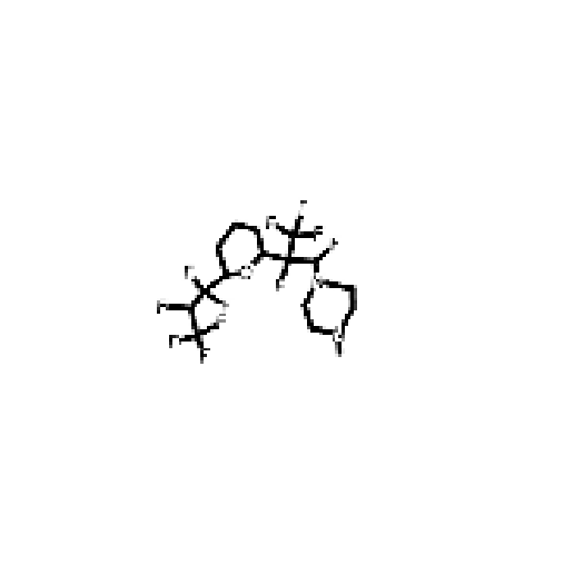 CN1CCN(C(F)C(F)(C2CCCC(C(F)(F)C(F)C(F)(F)F)O2)C(F)(F)F)CC1